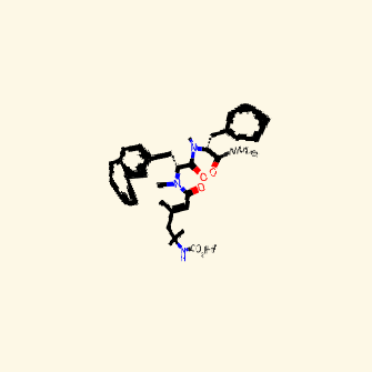 CNC(=O)[C@@H](Cc1ccccc1)N(C)C(=O)[C@@H](Cc1ccc2ccccc2c1)N(C)C(=O)/C=C(\C)CC(C)(C)NC(=O)O